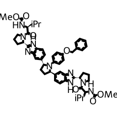 COC(=O)NC(C(=O)N1CCC[C@H]1c1nc2cc([C@H]3CC[C@H](c4ccc5[nH]c([C@@H]6CCCN6C(=O)[C@@H](NC(=O)OC)C(C)C)nc5c4)N3c3ccc(OCc4ccccc4)cc3)ccc2[nH]1)C(C)C